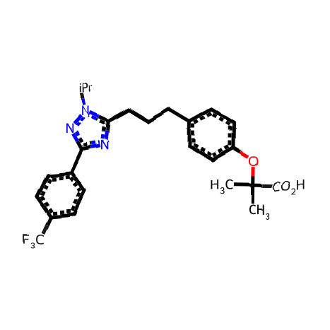 CC(C)n1nc(-c2ccc(C(F)(F)F)cc2)nc1CCCc1ccc(OC(C)(C)C(=O)O)cc1